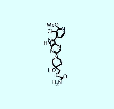 COc1nccc(-c2n[nH]c3nc(N4CCC(O)(COC(N)=O)CC4)cnc23)c1Cl